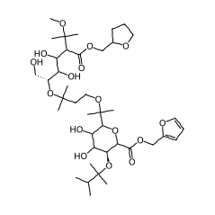 COC(C)(C)C(C(=O)OCC1CCCO1)C(O)C(O)[C@@H](CO)OC(C)(C)CCOC(C)(C)C1OC(C(=O)OCc2ccco2)[C@@H](OC(C)(C)C(C)C)C(O)C1O